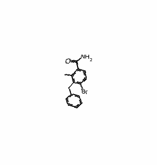 Cc1c(C(N)=O)ccc(Br)c1Cc1ccccc1